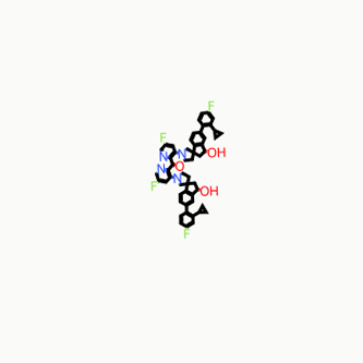 O=C(c1ncc(F)cc1N1CCC2(CC(O)c3cc(-c4ccc(F)cc4C4CC4)ccc32)C1)c1ncc(F)cc1N1CCC2(CC(O)c3cc(-c4ccc(F)cc4C4CC4)ccc32)C1